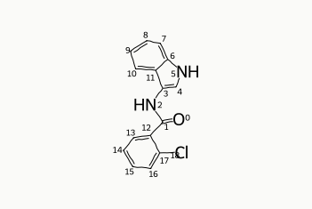 O=C(Nc1c[nH]c2ccccc12)c1ccccc1Cl